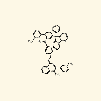 CN/C(=C\C(=N/Cc1ccc(N(C)c2cc(C3(c4ccccc4)c4ccccc4-c4ccccc43)ccc2C2=CC=CC(C)C2)cc1)c1ccccc1)C1=CC=CC(C)C1